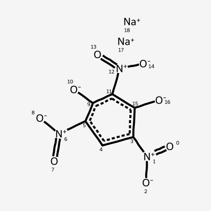 O=[N+]([O-])c1cc([N+](=O)[O-])c([O-])c([N+](=O)[O-])c1[O-].[Na+].[Na+]